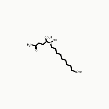 CCCCCCCCCCCCCCCCCCCN(O)C(CCC(N)=O)C(=O)O